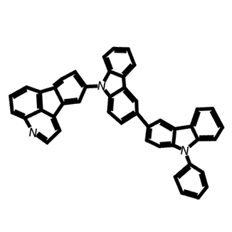 c1ccc(-n2c3ccccc3c3cc(-c4ccc5c(c4)c4ccccc4n5-c4ccc5c(c4)-c4ccnc6cccc-5c46)ccc32)cc1